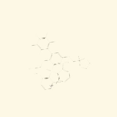 COCOc1c(-c2c(F)c(F)c(F)c(F)c2F)cc(CCC2(C)OCCO2)cc1P(=O)(c1c(OC)cccc1OC)c1c(OC)cccc1OC